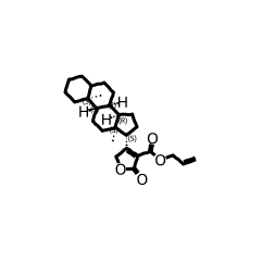 C=CCOC(=O)C1=C([C@H]2CC[C@@H]3[C@@H]4CCC5CCCC[C@]5(C)[C@H]4CC[C@]23C)COC1=O